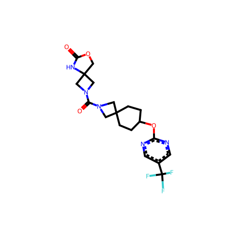 O=C1NC2(CO1)CN(C(=O)N1CC3(CCC(Oc4ncc(C(F)(F)F)cn4)CC3)C1)C2